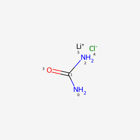 NC(N)=O.[Cl-].[Li+]